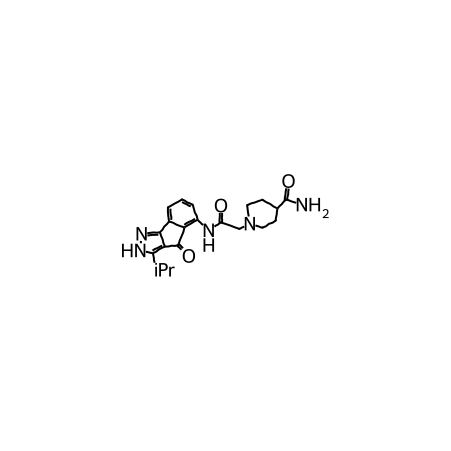 CC(C)c1[nH]nc2c1C(=O)c1c(NC(=O)CN3CCC(C(N)=O)CC3)cccc1-2